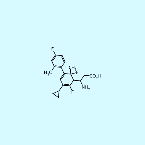 Cc1cc(F)ccc1C1=CC(C2CC2)=C(F)C(C(N)CC(=O)O)C1(C)F